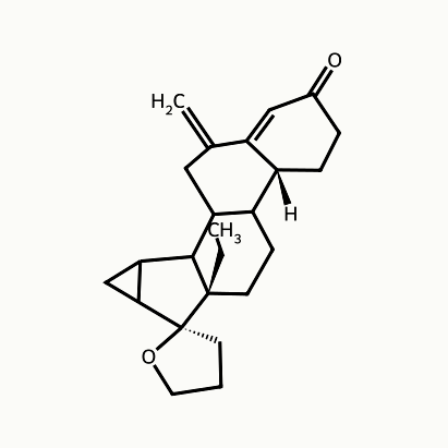 C=C1CC2C(CC[C@@]3(CC)C2C2CC2[C@@]32CCCO2)[C@H]2CCC(=O)C=C12